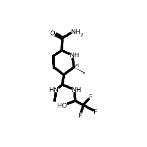 CNC(NC(O)C(F)(F)F)C1CCC(C(N)=O)N[C@@H]1C